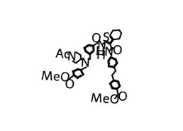 COC(=O)c1ccc(CCc2ccc(NC(=O)c3c(NC(=O)c4cccc(CN(Cc5ccc(C(=O)OC)cc5)C5CCN(C(C)=O)CC5)c4)sc4c3CCCC4)cc2)cc1